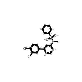 CN(c1cc(-c2ccc(Cl)c(Cl)c2)ncn1)S(=O)(=O)c1ccccc1